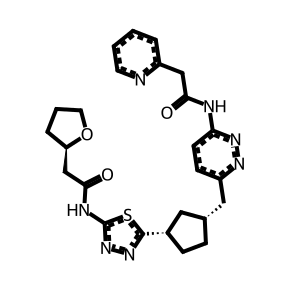 O=C(Cc1ccccn1)Nc1ccc(C[C@@H]2CC[C@H](c3nnc(NC(=O)C[C@H]4CCCO4)s3)C2)nn1